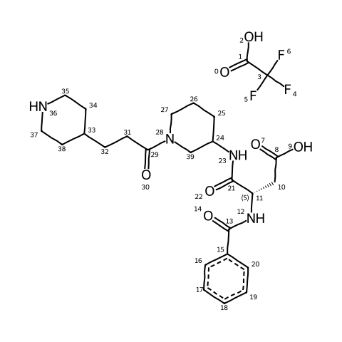 O=C(O)C(F)(F)F.O=C(O)C[C@H](NC(=O)c1ccccc1)C(=O)NC1CCCN(C(=O)CCC2CCNCC2)C1